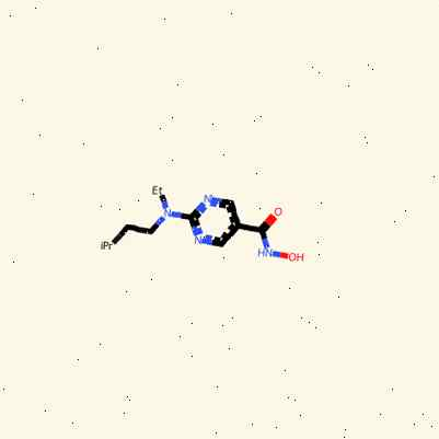 CCN(CCC(C)C)c1ncc(C(=O)NO)cn1